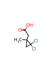 CC1(CC(=O)O)CC1(Cl)Cl